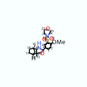 COc1ccc(C(=O)NC2C(C)(C)[C@@H]3CC[C@@]2(C)C3)cc1S(=O)(=O)N1CCOCC1